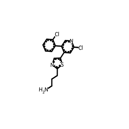 NCCCc1ncc(-c2cc(Cl)ncc2-c2ccccc2Cl)s1